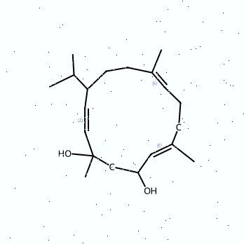 C/C1=C\C(O)CC(C)(O)/C=C\C(C(C)C)CC/C(C)=C/CC1